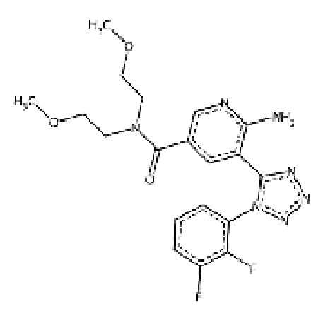 COCCN(CCOC)C(=O)c1cnc(N)c(-c2nnnn2-c2cccc(F)c2F)c1